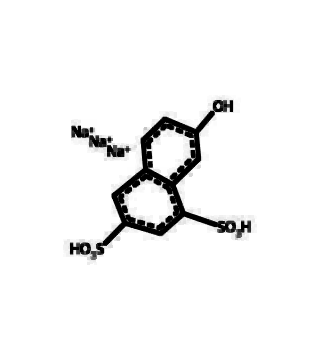 O=S(=O)(O)c1cc(S(=O)(=O)O)c2cc(O)ccc2c1.[Na+].[Na+].[Na+]